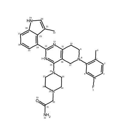 Cc1ccc(F)cc1N1CCc2nc(-c3cccc4[nH]cc(C)c34)nc(N3CCN(CC(N)=O)CC3)c2C1